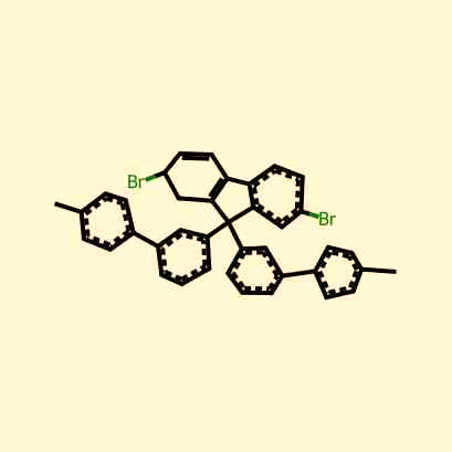 Cc1ccc(-c2cccc(C3(c4cccc(-c5ccc(C)cc5)c4)C4=C(C=CC(Br)C4)c4ccc(Br)cc43)c2)cc1